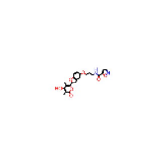 Cc1c(-c2cc3cc(OCCCNC(=O)c4ccno4)ccc3o2)oc(=O)c(C)c1O